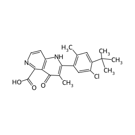 Cc1cc(C(C)(C)C)c(Cl)cc1-c1[nH]c2ccnc(C(=O)O)c2c(=O)c1C